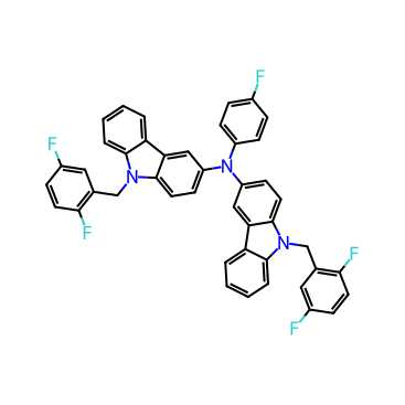 Fc1ccc(N(c2ccc3c(c2)c2ccccc2n3Cc2cc(F)ccc2F)c2ccc3c(c2)c2ccccc2n3Cc2cc(F)ccc2F)cc1